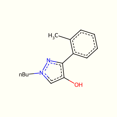 CCCCn1cc(O)c(-c2ccccc2C)n1